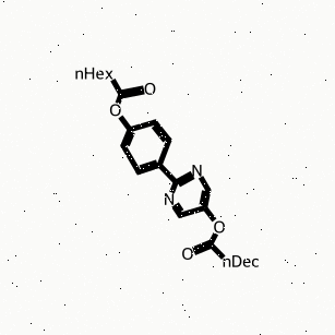 CCCCCCCCCCC(=O)Oc1cnc(-c2ccc(OC(=O)CCCCCC)cc2)nc1